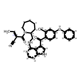 C/C=C(\C#N)C(=O)N1CCCCCC1CNc1ncnc2[nH]cc(C(=O)c3ccc(Oc4ccccc4)cc3Cl)c12